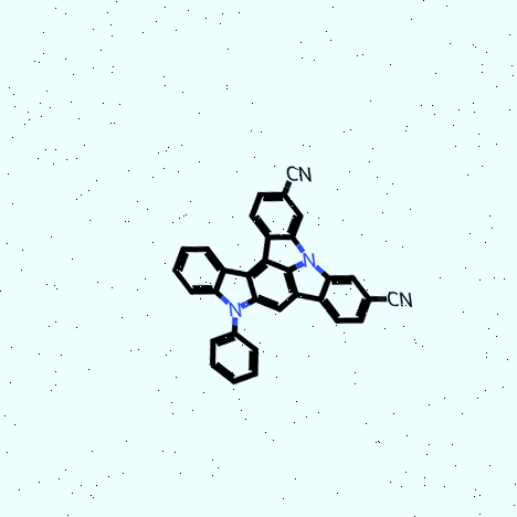 N#Cc1ccc2c3cc4c(c5ccccc5n4-c4ccccc4)c4c5ccc(C#N)cc5n(c2c1)c34